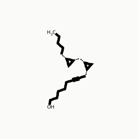 CCCCC[C@H]1C[C@H]1C[C@@H]1C[C@@H]1CC#CCCCCCO